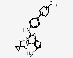 Cc1csc2nc(Nc3ccc(N4CCN(C)CC4)cc3)nc(OC3(C)CC3)c12